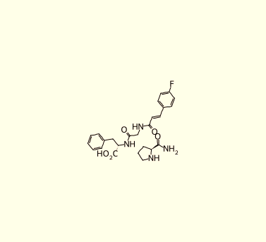 NC(=O)[C@@H]1CCCN1.O=C(C=Cc1ccc(F)cc1)NCC(=O)N[C@@H](Cc1ccccc1)C(=O)O